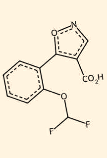 O=C(O)c1cnoc1-c1ccccc1OC(F)F